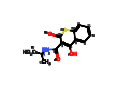 C[C@H](NC(=O)c1c(O)c2ccccc2sc1=O)C(=O)O